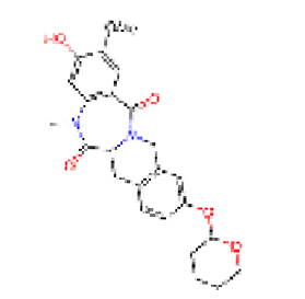 COc1cc2c(cc1O)N(C)C(=O)C1Cc3ccc(OC4CCCCO4)cc3CN1C2=O